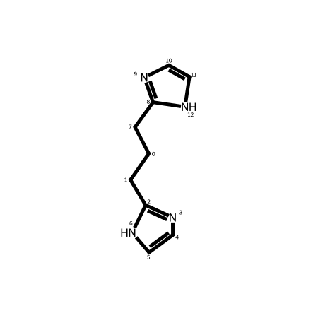 [CH](Cc1ncc[nH]1)Cc1ncc[nH]1